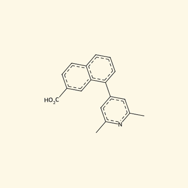 Cc1cc(-c2cccc3ccc(C(=O)O)cc23)cc(C)n1